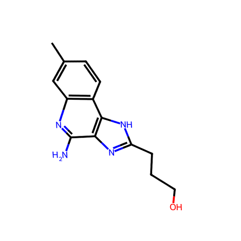 Cc1ccc2c(c1)nc(N)c1nc(CCCO)[nH]c12